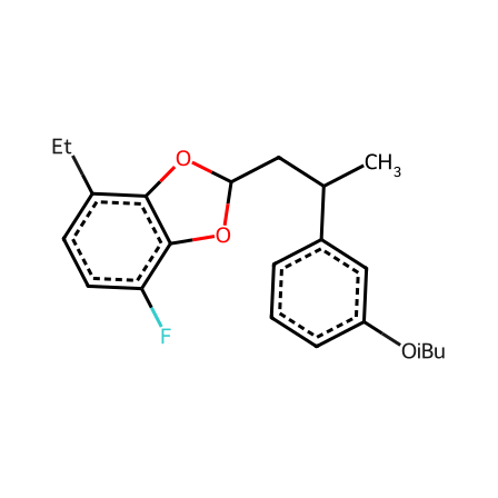 CCc1ccc(F)c2c1OC(CC(C)c1cccc(OCC(C)C)c1)O2